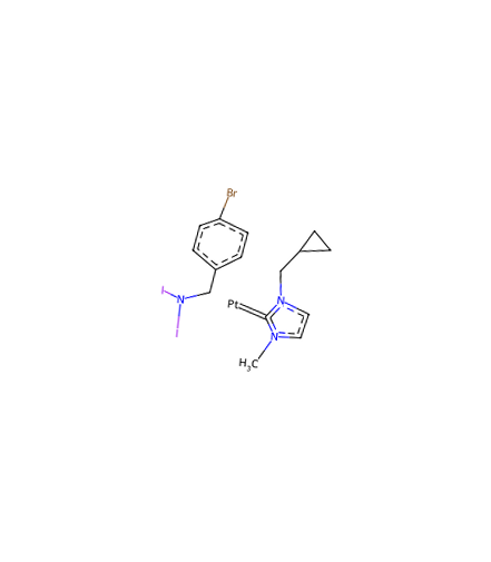 Brc1ccc(CN(I)I)cc1.Cn1ccn(CC2CC2)[c]1=[Pt]